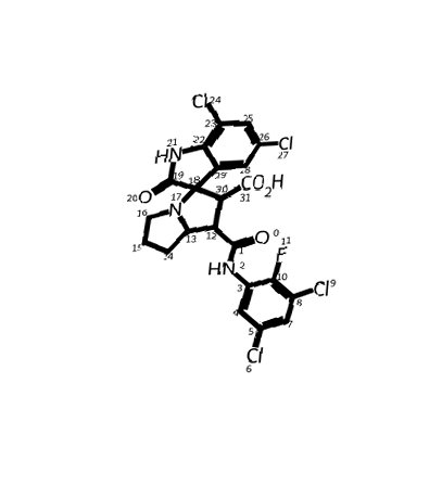 O=C(Nc1cc(Cl)cc(Cl)c1F)C1C2CCCN2C2(C(=O)Nc3c(Cl)cc(Cl)cc32)C1C(=O)O